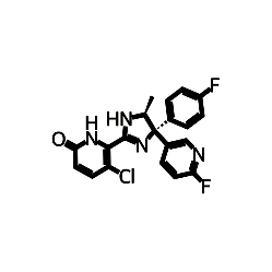 C[C@@H]1NC(c2[nH]c(=O)ccc2Cl)=N[C@]1(c1ccc(F)cc1)c1ccc(F)nc1